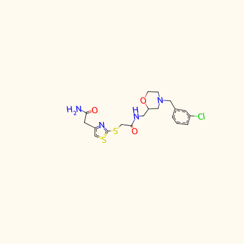 NC(=O)Cc1csc(SCC(=O)NCC2CN(Cc3cccc(Cl)c3)CCO2)n1